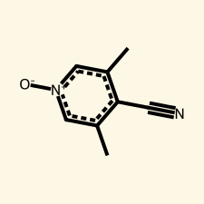 Cc1c[n+]([O-])cc(C)c1C#N